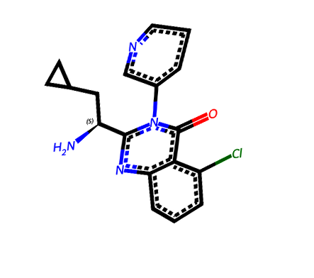 N[C@@H](CC1CC1)c1nc2cccc(Cl)c2c(=O)n1-c1cccnc1